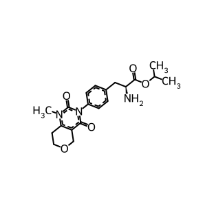 CC(C)OC(=O)[C@@H](N)Cc1ccc(-n2c(=O)c3c(n(C)c2=O)CCOC3)cc1